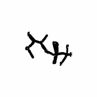 COC(=S)S(C)=NS(=O)(=O)C(F)(F)F